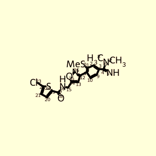 CSc1cc(C(=N)N(C)C)ccc1-c1cc(CNC(=O)c2ccc(Cl)s2)on1